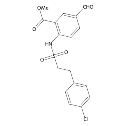 COC(=O)c1cc(C=O)ccc1NS(=O)(=O)CCc1ccc(Cl)cc1